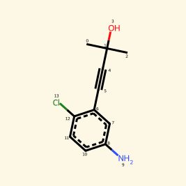 CC(C)(O)C#Cc1cc(N)ccc1Cl